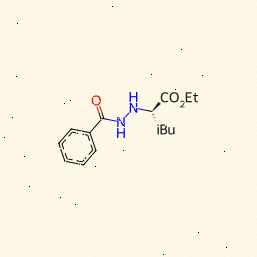 CCOC(=O)[C@H](NNC(=O)c1ccccc1)[C@@H](C)CC